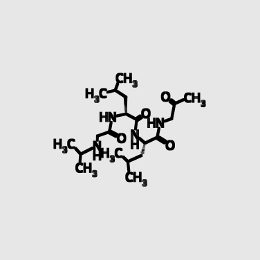 CC(=O)CNC(=O)[C@H](CC(C)C)NC(=O)[C@H](CC(C)C)NC(=O)CNC(C)C